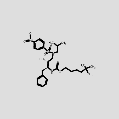 CC(C)CN(C[C@@H](O)[C@H](Cc1ccccc1)NC(=O)OCCCCC(C)(C)C)S(=O)(=O)c1ccc([N+](=O)[O-])cc1